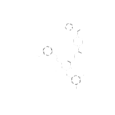 CCc1cccc(CNC[C@@H](O)[C@H](Cc2cc(F)cc(F)c2)NC(=O)CCC(=O)N2CCN(C(=O)c3ccco3)CC2)c1